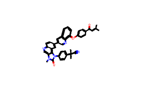 CC(C)=CC(=O)c1ccc(Oc2cccc3cc(-c4ccc5ncc6c(c5c4)n(-c4ccc(C(C)(C)C#N)cc4)c(=O)n6C)cnc23)cc1